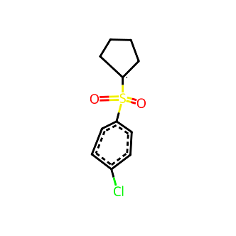 O=S(=O)([C]1CCCC1)c1ccc(Cl)cc1